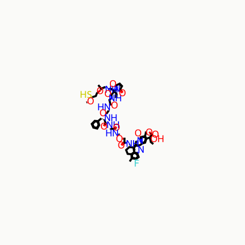 C=CC(CNCC(C)OCCC(S)OC)(C(=O)NCC(=O)NCC(=O)N[C@@H](Cc1ccccc1)C(=O)NCC(=O)NCOCC(=O)N[C@H]1CCc2c(C)c(F)cc3nc4c(c1c23)Cn1c-4cc2c(c1=O)COC(=O)[C@]2(O)CC)N1C(=O)C=CC1=O